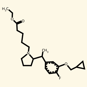 CCOC(=O)CCCCN1CCCC1C(C)c1ccc(F)c(OCC2CC2)c1